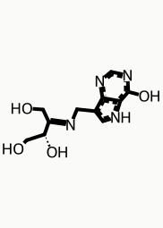 OC/C(=N\Cc1c[nH]c2c(O)ncnc12)[C@H](O)CO